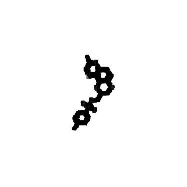 Cc1ccc(S(=O)(=O)OCC2COc3ccc4nc(C)cnc4c3O2)cc1